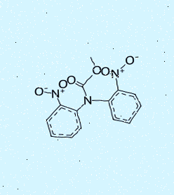 COC(=O)N(c1ccccc1[N+](=O)[O-])c1ccccc1[N+](=O)[O-]